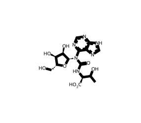 CC(O)[C@H](NC(=O)N(c1ncnc2[nH]cnc12)[C@@H]1O[C@H](CO)[C@@H](O)[C@H]1O)C(=O)O